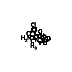 Cc1nc2c(c(-c3ccc(Cl)cc3Cl)c1CN)C(=O)N(CC1CCCN1S(=O)(=O)C1CC1)C2